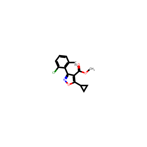 COC(=O)c1c(-c2c(C)cccc2Cl)noc1C1CC1